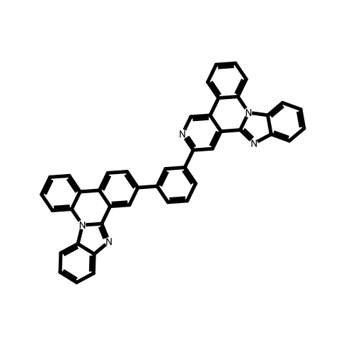 c1cc(-c2ccc3c4ccccc4n4c5ccccc5nc4c3c2)cc(-c2cc3c(cn2)c2ccccc2n2c4ccccc4nc32)c1